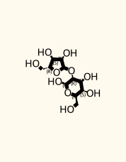 OC[C@H]1O[C@@H](O)[C@H](OC2O[C@H](CO)[C@@H](O)[C@@H]2O)[C@@H](O)[C@@H]1O